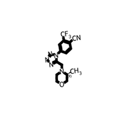 C[C@@H]1COCCN1Cc1nnnn1-c1ccc(C#N)c(C(F)(F)F)c1